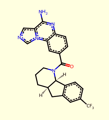 Nc1nc2ccc(C(=O)N3CCC[C@@H]4Cc5cc(C(F)(F)F)ccc5[C@@H]43)cc2n2cncc12